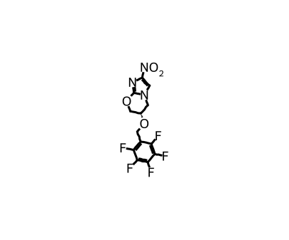 O=[N+]([O-])c1cn2c(n1)OC[C@@H](OCc1c(F)c(F)c(F)c(F)c1F)C2